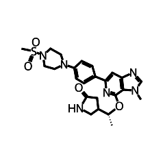 C[C@@H](Oc1nc(-c2ccc(N3CCN(S(C)(=O)=O)CC3)cc2)cc2ncn(C)c12)C1CNC(=O)C1